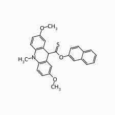 COc1ccc2c(c1)C(C(=S)Oc1ccc3ccccc3c1)c1cc(OC)ccc1N2C